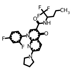 CCCC(NC(=O)c1cn(-c2ccc(F)cc2F)c2nc(N3CCCC3)ccc2c1=O)C(F)(F)F